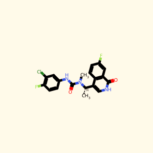 C[C@@H](c1c[nH]c(=O)c2cc(F)ccc12)N(C)C(=O)Nc1ccc(F)c(Cl)c1